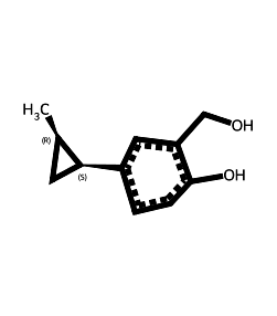 C[C@@H]1C[C@@H]1c1ccc(O)c(CO)c1